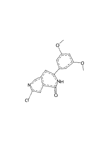 COc1cc(OC)cc(-c2cc3cnc(Cl)cc3c(=O)[nH]2)c1